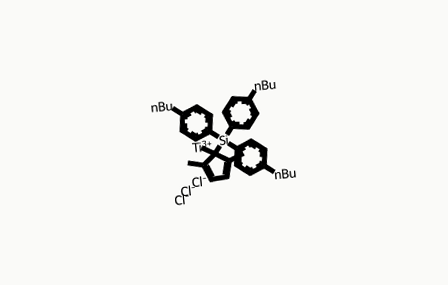 CCCCc1ccc([Si](c2ccc(CCCC)cc2)(c2ccc(CCCC)cc2)[C]2([Ti+3])C(C)=CC=C2C)cc1.[Cl-].[Cl-].[Cl-]